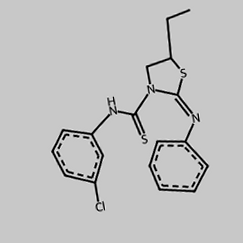 CCC1CN(C(=S)Nc2cccc(Cl)c2)/C(=N\c2ccccc2)S1